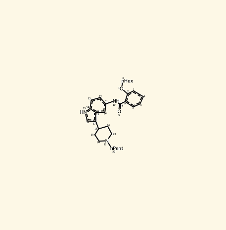 CCCCCCOc1ccccc1C(=O)Nc1ccc2[nH]cc(C3CCN(CCCCC)CC3)c2c1